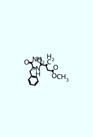 C=C(CC(=O)OC)C(=O)N[C@@H](Cc1ccccc1)C(N)=O